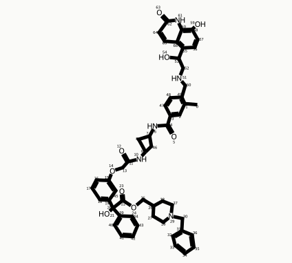 Cc1cc(C(=O)NC2CC(NC(=O)COc3cccc(C(O)(C(=O)OCC4CCN(Cc5ccccc5)CC4)c4ccccc4)c3)C2)ccc1CNCC(O)c1ccc(O)c2[nH]c(=O)ccc12